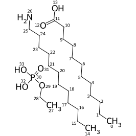 CCCCCCCCCCCC(=O)O.CCCCCCCCCCCCN.CCOP(=O)(O)O